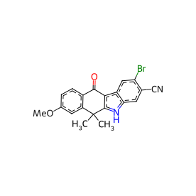 COc1ccc2c(c1)C(C)(C)c1[nH]c3cc(C#N)c(Br)cc3c1C2=O